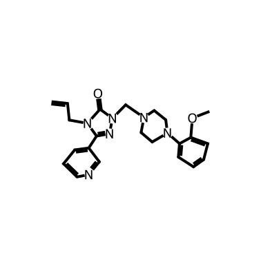 C=CCn1c(-c2cccnc2)nn(CN2CCN(c3ccccc3OC)CC2)c1=O